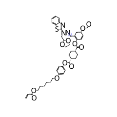 C=CC(=O)OCCCCCCOc1ccc(OC(=O)[C@H]2CC[C@H](C(=O)Oc3ccc(OC=O)cc3/C=N/N(CC3OCCO3)c3nc4ccccc4s3)CC2)cc1